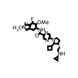 COc1c(NC(=O)c2cnc(N3CC[C@H](CCNC4CC4)C3C3CCC3)cn2)cc2cn(C)nc2c1F